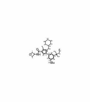 Cc1c(C(=O)NC2COC2)cc(-c2cc(C(C)(C)C)cc(C(C)(C)CF)c2)n1CC1CCCCC1